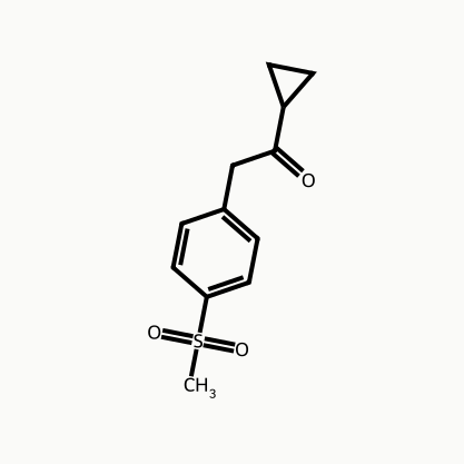 CS(=O)(=O)c1ccc(CC(=O)C2CC2)cc1